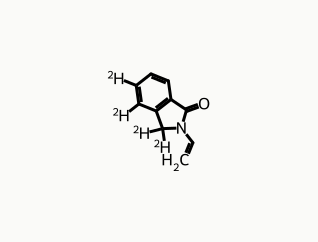 [2H]c1ccc2c(c1[2H])C([2H])([2H])N(C=C)C2=O